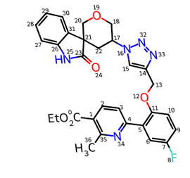 CCOC(=O)c1ccc(-c2cc(F)ccc2OCc2cn(C3COCC4(C3)C(=O)Nc3ccccc34)nn2)nc1C